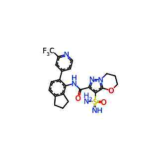 N=S(N)(=O)c1c(C(=O)Nc2c(-c3ccnc(C(F)(F)F)c3)ccc3c2CCC3)nn2c1OCCC2